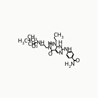 CCCNC1NC(Nc2ccc(C(N)=O)cc2)=NC=C1C(=O)NCCCNC(=O)OC(C)(C)C